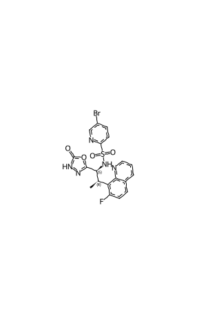 C[C@H](c1c(F)ccc2cccnc12)[C@H](NS(=O)(=O)c1ccc(Br)cn1)c1n[nH]c(=O)o1